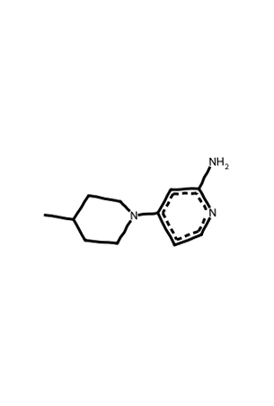 CC1CCN(c2ccnc(N)c2)CC1